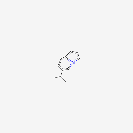 CC(C)c1ccc2cccn2c1